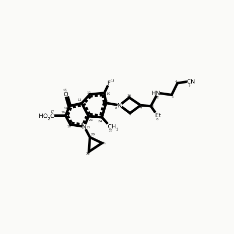 CCC(NCCC#N)C1CN(c2c(F)cc3c(=O)c(C(=O)O)cn(C4CC4)c3c2C)C1